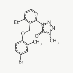 CCc1cccc(-n2nnn(C)c2=O)c1COc1ccc(Br)cc1C